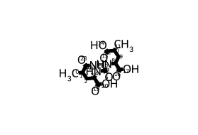 CC(CC(NC(=O)NC(CC(C)C(=O)O)C(=O)O)C(=O)O)C(N)=O